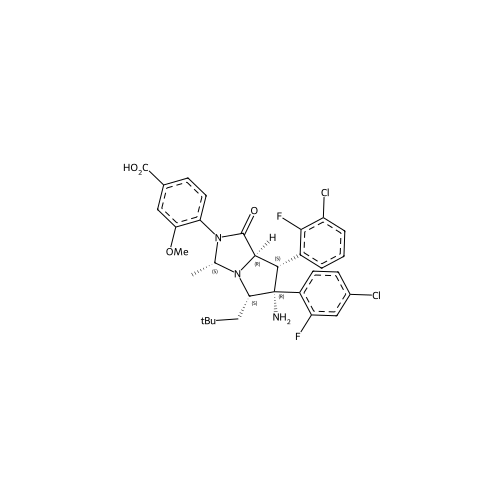 COc1cc(C(=O)O)ccc1N1C(=O)[C@H]2[C@H](c3cccc(Cl)c3F)[C@@](N)(c3ccc(Cl)cc3F)[C@H](CC(C)(C)C)N2[C@@H]1C